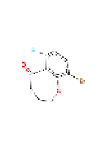 O=C1CCCOc2c(Br)ccc(F)c21